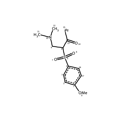 COc1ccc(S(=O)(=O)C(CN(C)C)C(=O)C(C)C)cc1